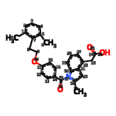 Cc1cccc(C)c1CCOc1ccc(C(=O)n2c(C)cc3c(CC(=O)O)cccc32)cc1